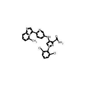 Cc1cccc2ncc(-c3ccc(Nc4cn(-c5c(Cl)cccc5Cl)nc4C(N)=O)cn3)n12